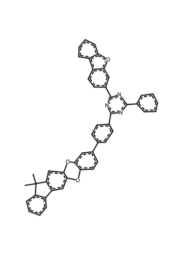 CC1(C)c2ccccc2-c2cc3c(cc21)Oc1cc(-c2ccc(-c4nc(-c5ccccc5)nc(-c5ccc6c(c5)oc5ccccc56)n4)cc2)ccc1O3